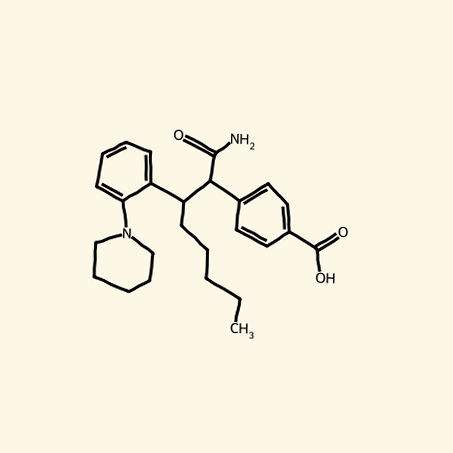 CCCCCC(c1ccccc1N1CCCCC1)C(C(N)=O)c1ccc(C(=O)O)cc1